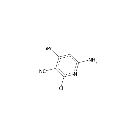 CC(C)c1cc(N)nc(Cl)c1C#N